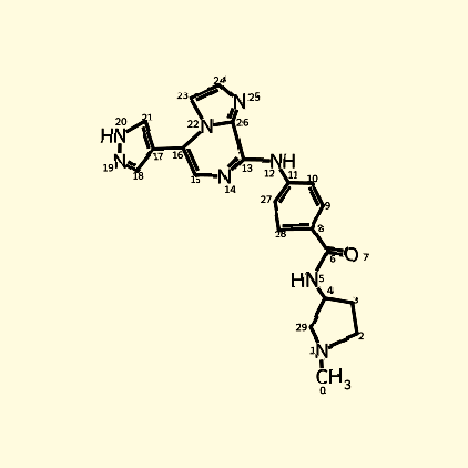 CN1CCC(NC(=O)c2ccc(Nc3ncc(-c4cn[nH]c4)n4ccnc34)cc2)C1